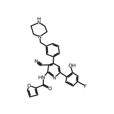 N#Cc1c(-c2cccc(CN3CCNCC3)c2)cc(-c2ccc(F)cc2O)nc1NC(=O)c1ccco1